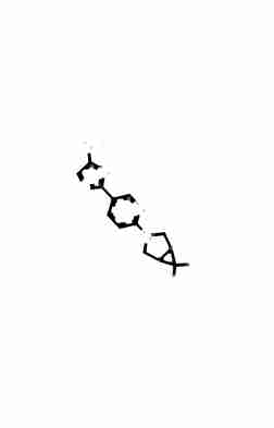 Nc1csc(-c2ccc(N3CC4C(C3)C4(F)F)nc2)n1